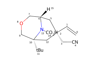 C=C[C@]1(CC#N)C[C@H]2COC[C@](C(C)(C)C)(C1)N2C(=O)O